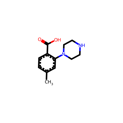 Cc1ccc(C(=O)O)c(N2CCNCC2)c1